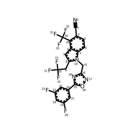 N#Cc1ccc2c(cc(CC(F)(F)F)n2Cc2noc(-c3cc(F)cc(F)c3)n2)c1C(F)(F)F